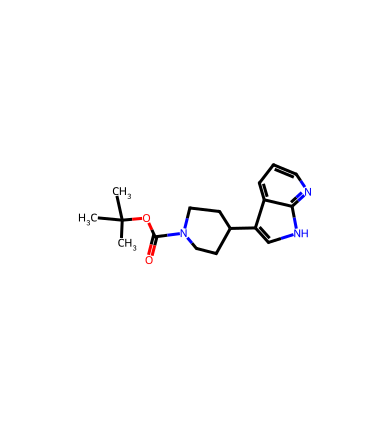 CC(C)(C)OC(=O)N1CCC(c2c[nH]c3ncccc23)CC1